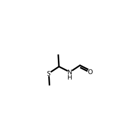 CSC(C)NC=O